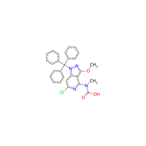 COc1nn(C(c2ccccc2)(c2ccccc2)c2ccccc2)c2cc(Cl)nc(N(C)C(=O)O)c12